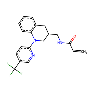 C=CC(=O)NCC1Cc2ccccc2N(c2ccc(C(F)(F)F)cn2)C1